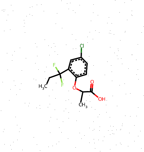 CCC(F)(F)c1cc(Cl)ccc1OC(C)C(=O)O